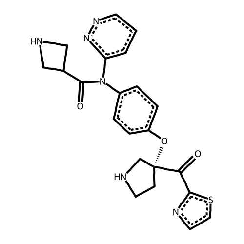 O=C(C1CNC1)N(c1ccc(O[C@]2(C(=O)c3nccs3)CCNC2)cc1)c1cccnn1